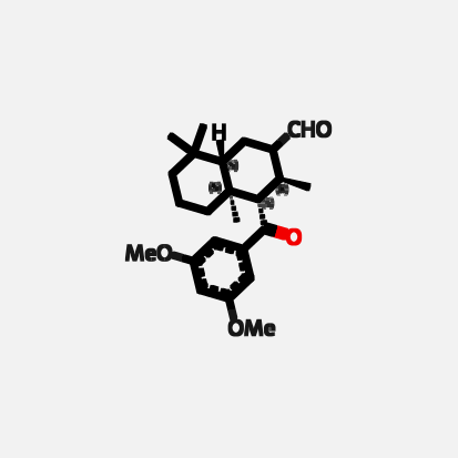 COc1cc(OC)cc(C(=O)[C@H]2[C@H](C)C(C=O)C[C@H]3C(C)(C)CCC[C@]23C)c1